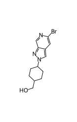 OCC1CCC(n2cc3cc(Br)ncc3n2)CC1